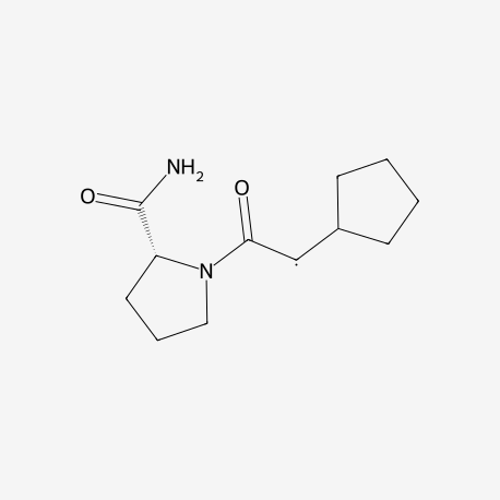 NC(=O)[C@H]1CCCN1C(=O)[CH]C1CCCC1